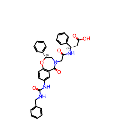 O=C(O)C[C@H](NC(=O)CN1C[C@@H](c2ccccc2)Oc2ccc(NC(=O)NCc3ccccc3)cc2C1=O)c1ccccc1